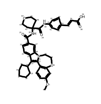 COc1ccc2c(c1)OCCn1c-2c(C2CCCCC2)c2ccc(C(=O)NC3(C(=O)Nc4ccc(C=CC(=O)O)cc4)CCOCC3)cc21